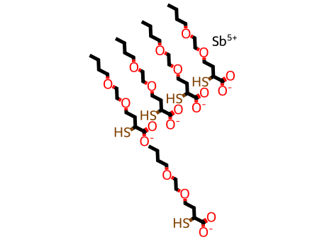 CCCCOCCOCCC(S)C(=O)[O-].CCCCOCCOCCC(S)C(=O)[O-].CCCCOCCOCCC(S)C(=O)[O-].CCCCOCCOCCC(S)C(=O)[O-].CCCCOCCOCCC(S)C(=O)[O-].[Sb+5]